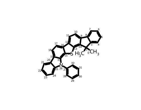 CC1(C)c2ccccc2-c2ccc3c(sc4c3ccc3c5ccccc5n(-c5ccccc5)c34)c21